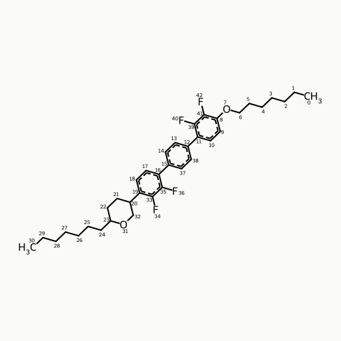 CCCCCCCOc1ccc(-c2ccc(-c3ccc(C4CCC(CCCCCCC)OC4)c(F)c3F)cc2)c(F)c1F